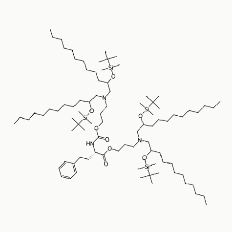 CCCCCCCCCCC(CN(CCCOC(=O)N[C@@H](CCc1ccccc1)C(=O)OCCCN(CC(CCCCCCCCCC)O[Si](C)(C)C(C)(C)C)CC(CCCCCCCCCC)O[Si](C)(C)C(C)(C)C)CC(CCCCCCCCCC)O[Si](C)(C)C(C)(C)C)O[Si](C)(C)C(C)(C)C